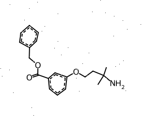 CC(C)(N)CCOc1cccc(C(=O)OCc2ccccc2)c1